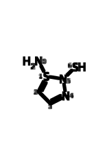 NS1=CC=NN1S